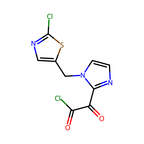 O=C(Cl)C(=O)c1nccn1Cc1cnc(Cl)s1